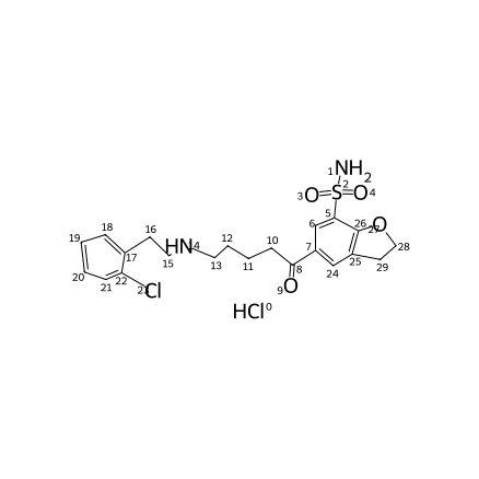 Cl.NS(=O)(=O)c1cc(C(=O)CCCCNCCc2ccccc2Cl)cc2c1OCC2